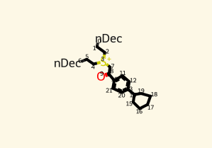 CCCCCCCCCCCC[S+](CCCCCCCCCCCC)CC(=O)c1ccc(C2CCCCC2)cc1